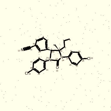 CCC[C@@]1(C)[C@H](c2cccc(C#N)c2)N(c2ccc(Cl)cc2)C(=O)N1c1ccc(Cl)cc1